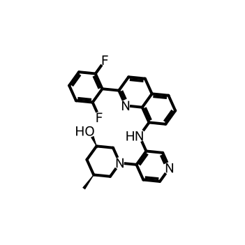 C[C@H]1C[C@@H](O)CN(c2ccncc2Nc2cccc3ccc(-c4c(F)cccc4F)nc23)C1